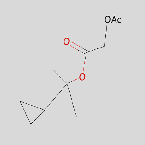 CC(=O)OCC(=O)OC(C)(C)C1CC1